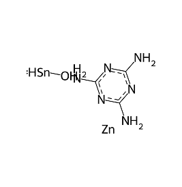 Nc1nc(N)nc(N)n1.[OH][SnH].[Zn]